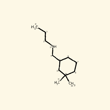 CCCNCC1CCCC(C)(C)C1